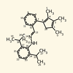 CC1=C(C)C(C)=C(c2ccccc2C=NNc2c(C(C)C)cccc2C(C)C)C1